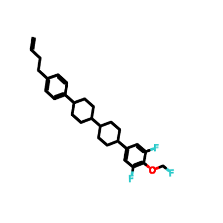 C=CCCc1ccc(C2CCC(C3CCC(c4cc(F)c(OCF)c(F)c4)CC3)CC2)cc1